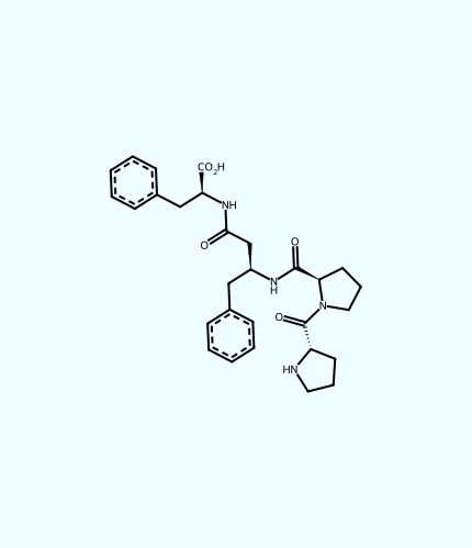 O=C(C[C@H](Cc1ccccc1)NC(=O)[C@H]1CCCN1C(=O)[C@@H]1CCCN1)N[C@@H](Cc1ccccc1)C(=O)O